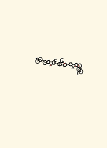 C=CC(=O)OCCOc1ccc2c(c1)C(C)(C)c1cc(-c3ccc4c(c3)C(C)(C(F)(F)F)c3cc(-c5ccc6c(c5)C(C)(C)c5cc(OC(C)OC(=O)C=C)ccc5-6)ccc3-4)ccc1-2